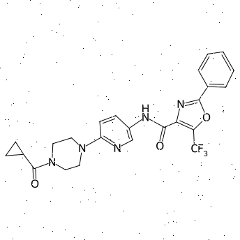 O=C(Nc1ccc(N2CCN(C(=O)C3CC3)CC2)nc1)c1nc(-c2ccccc2)oc1C(F)(F)F